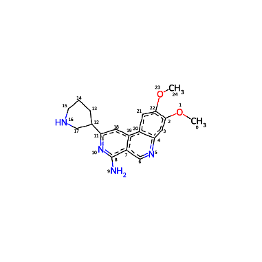 COc1cc2ncc3c(N)nc(C4CCCNC4)cc3c2cc1OC